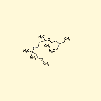 CCC(CC)CCOC(C)(C)CCOC(C)(N)CCOC